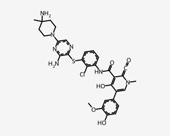 COc1cc(C2=CN(C)C(=C=O)C(C(=O)Nc3cccc(Sc4ncc(N5CCC(C)(N)CC5)nc4N)c3Cl)=C2O)ccc1O